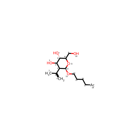 C=C(C)C1C(O)[C@H](O)C(CO)O[C@H]1OCCCCC(C)=O